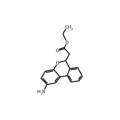 CCOC(=O)CC1Oc2ccc(N)cc2-c2ccccc21